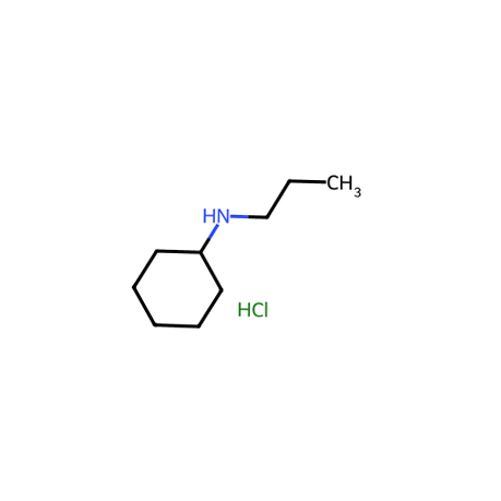 CCCNC1CCCCC1.Cl